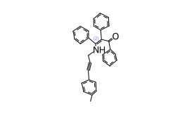 Cc1ccc(C#CCN/C(=C(\C(=O)c2ccccc2)c2ccccc2)c2ccccc2)cc1